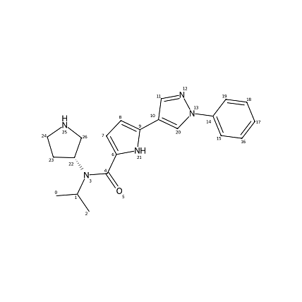 CC(C)N(C(=O)c1ccc(-c2cnn(-c3ccccc3)c2)[nH]1)[C@@H]1CCNC1